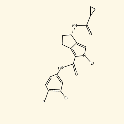 CCn1cc2c(c1C(=O)Nc1ccc(F)c(Cl)c1)CC[C@@H]2NC(=O)C1CC1